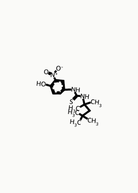 CC(C)(C)CC(C)(C)NC(=S)Nc1ccc(O)c([N+](=O)[O-])c1